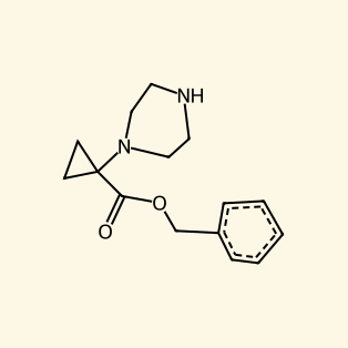 O=C(OCc1ccccc1)C1(N2CCNCC2)CC1